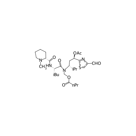 CCCC(=O)OCN(C(=O)[C@@H](NC(=O)[C@H]1CCCCN1C)[C@@H](C)CC)[C@H](C[C@@H](OC(C)=O)c1nc(C=O)cs1)C(C)C